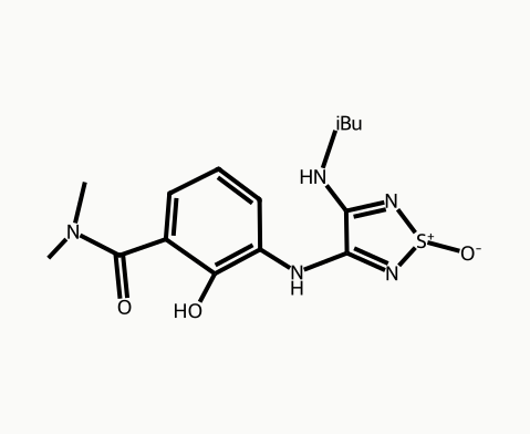 CCC(C)Nc1n[s+]([O-])nc1Nc1cccc(C(=O)N(C)C)c1O